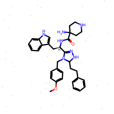 COc1ccc(CN2C([C@@H](Cc3c[nH]c4ccccc34)NC(=O)C3(N)CCNCC3)=NNC2CCc2ccccc2)cc1